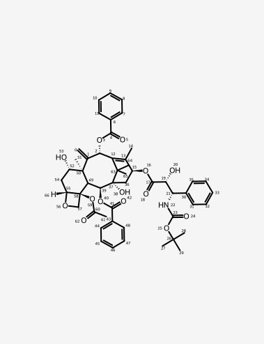 C=C1[C@H](OC(=O)c2ccccc2)C2=C(C)[C@@H](OC(=O)[C@H](O)[C@@H](NC(=O)OC(C)(C)C)c3ccccc3)C[C@@](O)([C@@H](OC(=O)c3ccccc3)C3[C@@]1(C)[C@@H](O)C[C@H]1OC[C@@]31OC(C)=O)C2(C)C